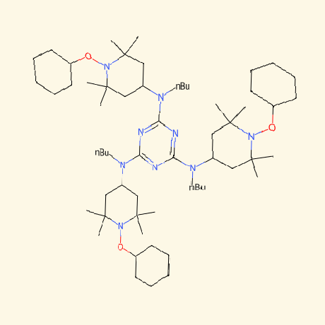 CCCCN(c1nc(N(CCCC)C2CC(C)(C)N(OC3CCCCC3)C(C)(C)C2)nc(N(CCCC)C2CC(C)(C)N(OC3CCCCC3)C(C)(C)C2)n1)C1CC(C)(C)N(OC2CCCCC2)C(C)(C)C1